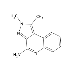 Cc1c2c(nn1C)c(N)nc1ccccc12